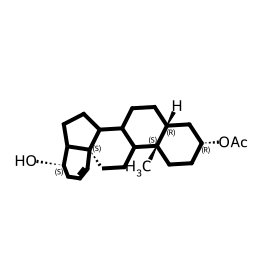 CC(=O)O[C@@H]1CC[C@]2(C)C3CC[C@]45C=CC[C@H](O)C4CCC5C3CC[C@@H]2C1